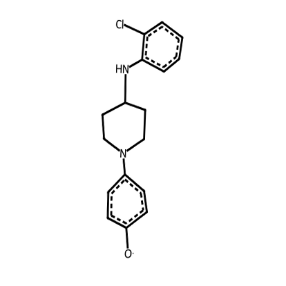 [O]c1ccc(N2CCC(Nc3ccccc3Cl)CC2)cc1